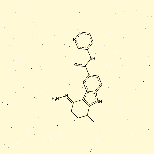 CC1CCC(=NN)c2c1[nH]c1ccc(C(=O)Nc3cccnc3)cc21